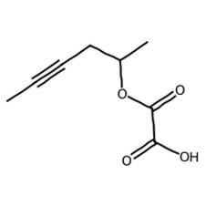 CC#CCC(C)OC(=O)C(=O)O